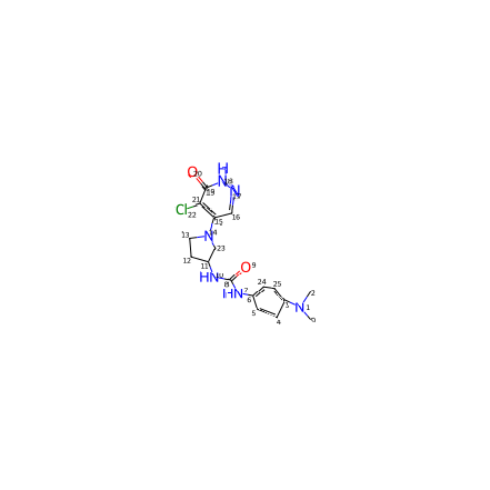 CN(C)c1ccc(NC(=O)NC2CCN(c3cn[nH]c(=O)c3Cl)C2)cc1